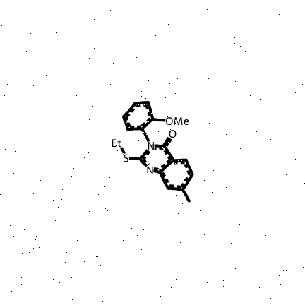 CCSc1nc2cc(C)ccc2c(=O)n1-c1ccccc1OC